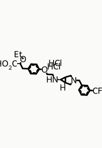 CCO[C@@H](Cc1ccc(OCCN[C@H]2C3CN(Cc4cccc(C(F)(F)F)c4)C[C@@H]32)cc1)C(=O)O.Cl.Cl